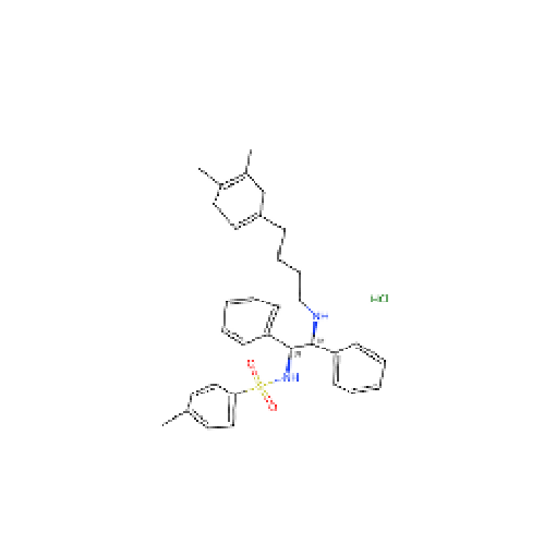 CC1=C(C)CC(CCCCN[C@@H](c2ccccc2)[C@@H](NS(=O)(=O)c2ccc(C)cc2)c2ccccc2)=CC1.Cl